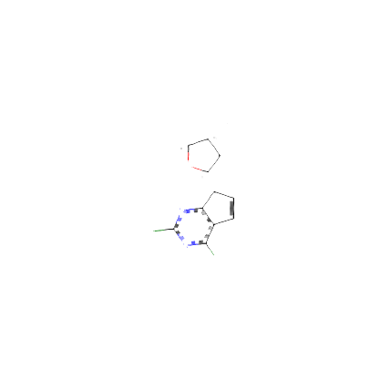 CC[C@H]1O[C@@H](C2C=Cc3c(Cl)nc(Cl)nc32)C[C@H]1C